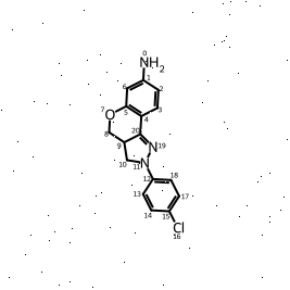 Nc1ccc2c(c1)OCC1CN(c3ccc(Cl)cc3)N=C21